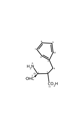 N[C@H]([C]=O)C(Cc1ccccc1)C(=O)O